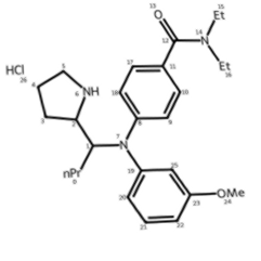 CCCC(C1CCCN1)N(c1ccc(C(=O)N(CC)CC)cc1)c1cccc(OC)c1.Cl